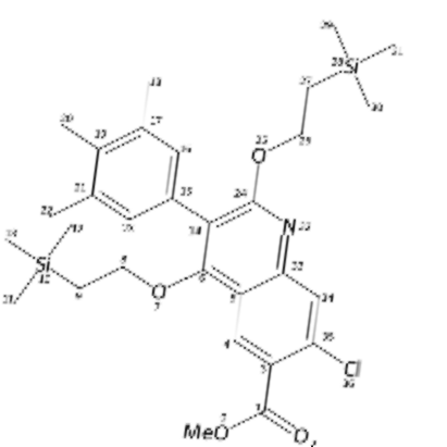 COC(=O)c1cc2c(OCC[Si](C)(C)C)c(-c3cc(C)c(C)c(C)c3)c(OCC[Si](C)(C)C)nc2cc1Cl